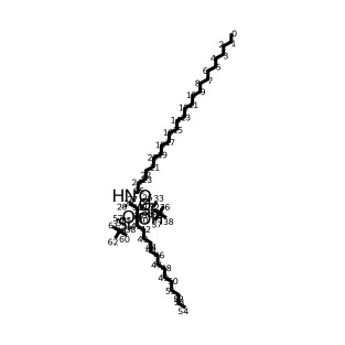 CCCCCCCCCCCCCCCCCCCCCCCCCC(=O)N[C@@H](C)[C@H](O[Si](C)(C)C(C)(C)C)[C@@](O)(CCCCCCCCCCCCCC)O[Si](C)(C)C(C)(C)C